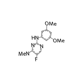 CNc1nc(Nc2cc(OC)cc(OC)c2)ncc1F